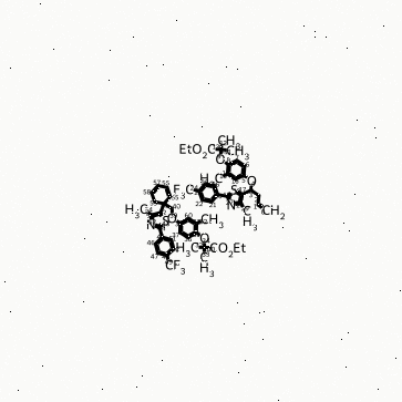 C=CCC(Oc1ccc(OC(C)(C)C(=O)OCC)c(C)c1)c1sc(-c2ccc(C(F)(F)F)cc2)nc1C.CCOC(=O)C(C)(C)Oc1ccc(OCC2(c3sc(-c4ccc(C(F)(F)F)cc4)nc3C)C=CC=CC2)cc1C